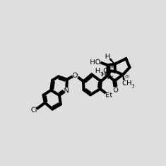 CCc1ccc(Oc2ccc3cc(Cl)ccc3n2)cc1C1=C(O)[C@@H]2CC[C@](C)(C1=O)C2(C)C